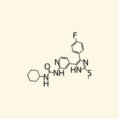 CSc1nc(-c2ccc(F)cc2)c(-c2ccnc(NC(=O)NC3CCCCC3)c2)[nH]1